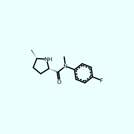 C[C@H]1CC[C@@H](C(=O)N(C)c2ccc(F)cc2)N1